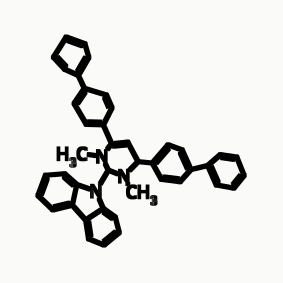 CN1C(c2ccc(-c3ccccc3)cc2)=CC(c2ccc(-c3ccccc3)cc2)N(C)C1n1c2ccccc2c2ccccc21